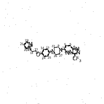 FC(F)(F)c1nnc2ccc(N3CCN(c4ccc(OCCn5cccn5)cc4)CC3)nn12